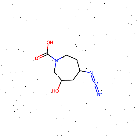 [N-]=[N+]=NC1CCN(C(=O)O)CC(O)C1